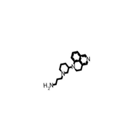 NCCCN1CCCC(N2CCc3cncc4cccc2c34)C1